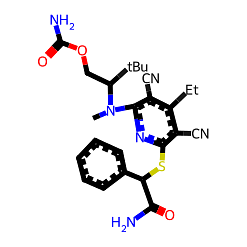 CCc1c(C#N)c(SC(C(N)=O)c2ccccc2)nc(N(C)C(COC(N)=O)C(C)(C)C)c1C#N